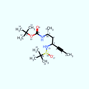 CC#CC(C[C@@H](C)NC(=O)OC(C)(C)C)N[S+]([O-])C(C)(C)C